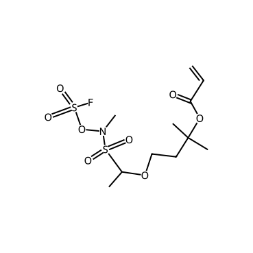 C=CC(=O)OC(C)(C)CCOC(C)S(=O)(=O)N(C)OS(=O)(=O)F